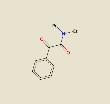 CCN(C(=O)C(=O)c1ccccc1)C(C)C